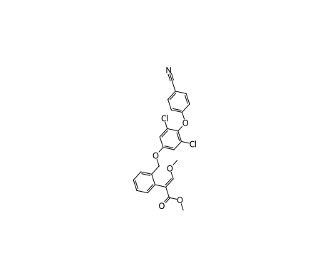 CO/C=C(/C(=O)OC)c1ccccc1COc1cc(Cl)c(Oc2ccc(C#N)cc2)c(Cl)c1